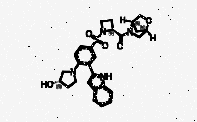 O=C([C@@H]1CCN1S(=O)(=O)c1ccc(N2CC[C@H](O)C2)c(-c2cc3ccccc3[nH]2)c1)N1C[C@@H]2C[C@H]1CO2